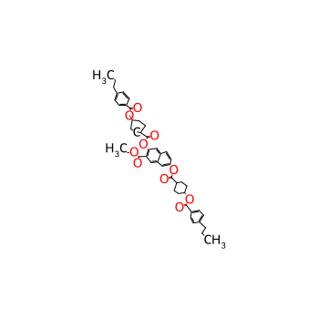 CCCc1ccc(C(=O)OC2CCC(C(=O)Oc3ccc4cc(OC(=O)C5CCC(OC(=O)c6ccc(CCC)cc6)CC5)c(C(=O)OCC)cc4c3)CC2)cc1